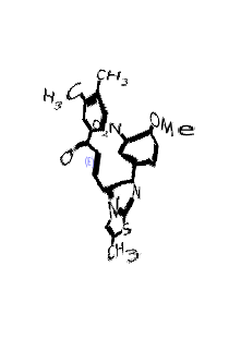 COc1ccc(C2N=C3SC(C)=CN3C2/C=C/C(=O)c2ccc(C)c(C)c2)cc1[N+](=O)[O-]